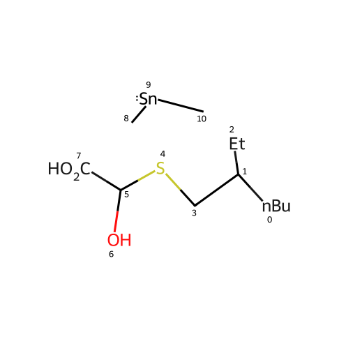 CCCCC(CC)CSC(O)C(=O)O.[CH3][Sn][CH3]